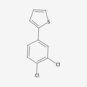 Clc1ccc(-c2cc[c]s2)cc1Cl